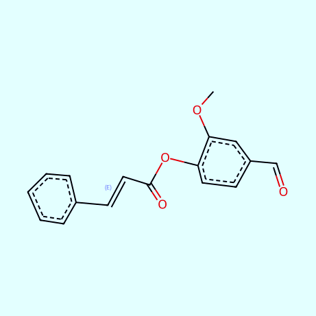 COc1cc(C=O)ccc1OC(=O)/C=C/c1ccccc1